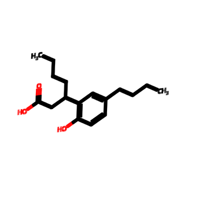 CCCCc1ccc(O)c(C(CCCC)CC(=O)O)c1